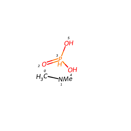 CNC.O=[PH](O)O